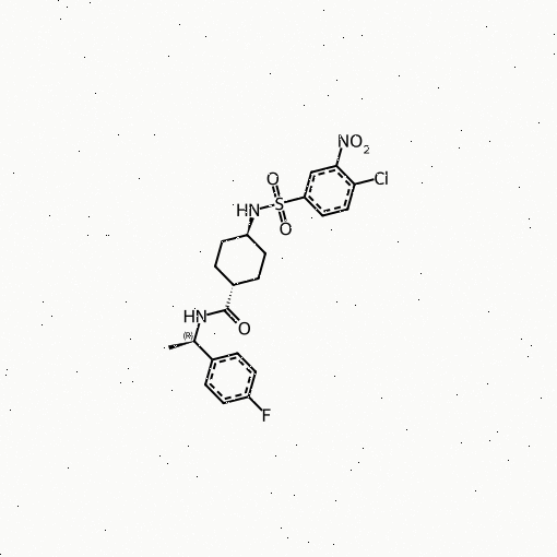 C[C@@H](NC(=O)[C@H]1CC[C@H](NS(=O)(=O)c2ccc(Cl)c([N+](=O)[O-])c2)CC1)c1ccc(F)cc1